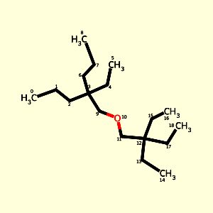 CCCC(CC)(CCC)COCC(CC)(CC)CC